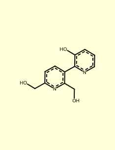 OCc1ccc(-c2ncccc2O)c(CO)n1